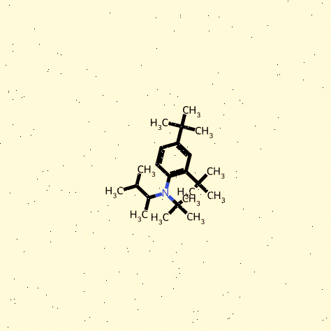 CC(C)C(C)N(c1ccc(C(C)(C)C)cc1C(C)(C)C)C(C)(C)C